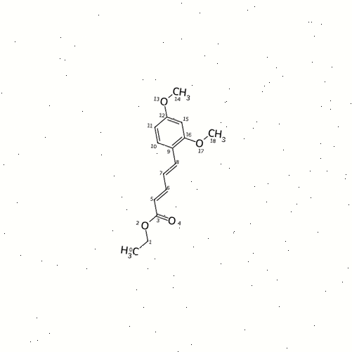 CCOC(=O)C=CC=Cc1ccc(OC)cc1OC